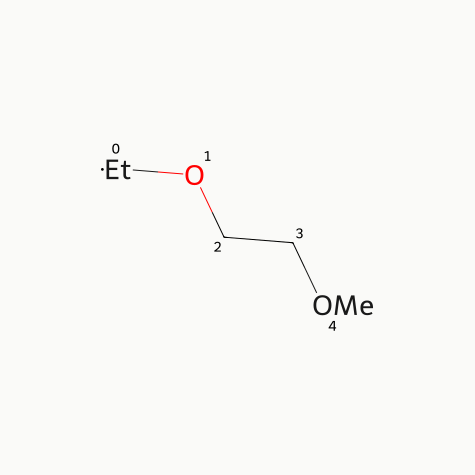 C[CH]OCCOC